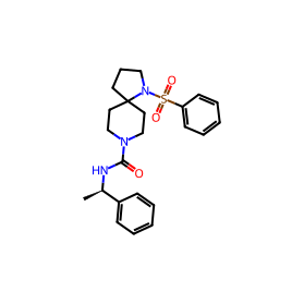 C[C@@H](NC(=O)N1CCC2(CCCN2S(=O)(=O)c2ccccc2)CC1)c1ccccc1